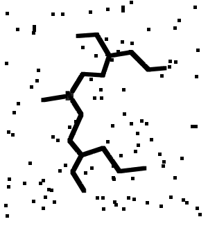 CCCC(CC)CCN(C)CCC(CC)CCC